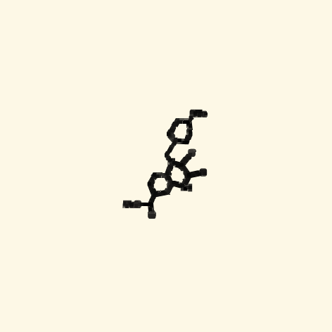 COC(=O)c1ccc2c(c1)[nH]c(=O)c(=O)n2Cc1ccc(OC)cc1